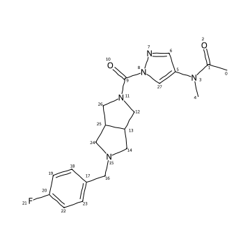 CC(=O)N(C)c1cnn(C(=O)N2CC3CN(Cc4ccc(F)cc4)CC3C2)c1